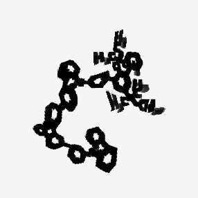 CCC(C)(C)Oc1c(-c2ccccc2)cc(C(C)(C)CC)cc1-c1ccc(-n2c3ccccc3c3cc(-c4ccc5oc6ccc(-c7cccc(-n8c9ccccc9c9ccccc98)c7)cc6c5c4)ccc32)cc1